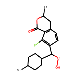 CCCC1CCC(C(OO)c2ccc3c(c2F)C(=O)OC(CC)C3)CC1